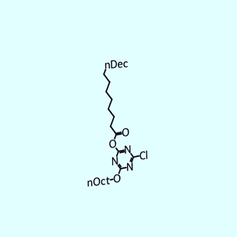 CCCCCCCCCCCCCCCCCC(=O)Oc1nc(Cl)nc(OCCCCCCCC)n1